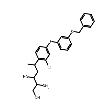 CC(CC(O)C(N)CO)c1ccc(Sc2cccc(OCc3ccccc3)c2)cc1Cl